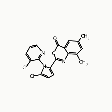 Cc1cc(C)c2nc(-c3ccc(Cl)n3-c3ncccc3Cl)oc(=O)c2c1